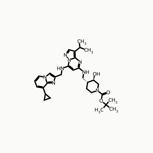 CC(C)c1cnn2c(NCc3cn4cccc(C5CC5)c4n3)cc(NC[C@H]3CCN(C(=O)OC(C)(C)C)C[C@@H]3O)nc12